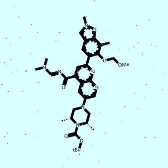 COCOc1c(-c2cc(C(=O)/N=C/N(C)C)c3cc(N4C[C@@H](C)N(C(=O)OC(C)(C)C)[C@@H](C)C4)cnc3n2)cc2cn(C)nc2c1C